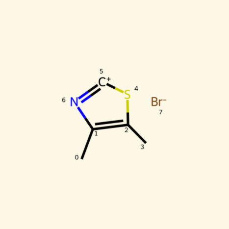 CC1=C(C)S[C+]=N1.[Br-]